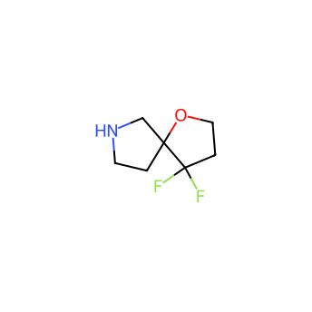 FC1(F)CCOC12CCNC2